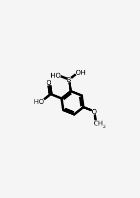 COc1ccc(C(=O)O)c(B(O)O)c1